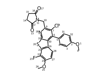 COc1ccc(-c2c(Cl)c(CN3C(=O)CCC3=O)nc3sc4c(F)c(OC)ccc4c23)cc1